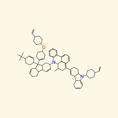 C=CC1CCC(OC2CC=C(C3(C4C=CC(C(C)(C)C)CC4)C4C=CCCC4C4C=CC(N(c5ccccc5C5=CC=CCC5)C5CC=C(C6=CC7C8CC=CC=C8N(C8CCC(C=C)CC8)C7CC6)CC5C)CC43)CC2)CC1